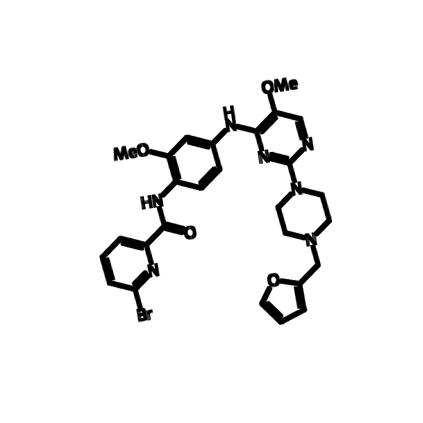 COc1cc(Nc2nc(N3CCN(Cc4ccco4)CC3)ncc2OC)ccc1NC(=O)c1cccc(Br)n1